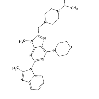 Cc1nc2ccccc2n1-c1nc(N2CCOCC2)c2nc(CN3CCN(C(C)C)CC3)n(C)c2n1